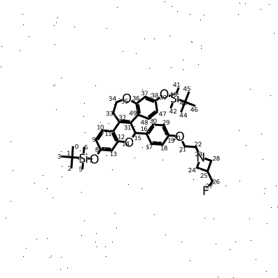 CC(C)(C)[Si](C)(C)Oc1ccc2c(c1)OC(c1ccc(OCCN3CC(CF)C3)cc1)C1=C2CCOc2cc(O[Si](C)(C)C(C)(C)C)ccc21